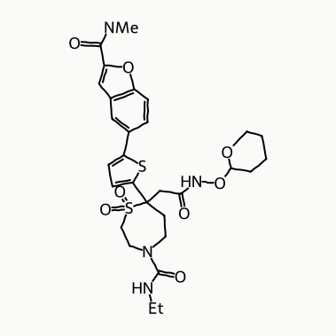 CCNC(=O)N1CCC(CC(=O)NOC2CCCCO2)(c2ccc(-c3ccc4oc(C(=O)NC)cc4c3)s2)S(=O)(=O)CC1